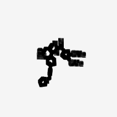 COc1ccc(Nc2ncc3c(n2)-c2ccc(C#CCN4CCCC4)cc2NC(=O)C3)cc1OC